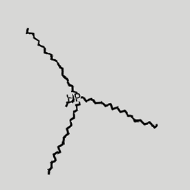 CCCCCCCCCCCCCCCCCCC[PH](CCCC)(CCCCCCCCCCCCCCCCCCC)CCCCCCCCCCCCCCCCCCC